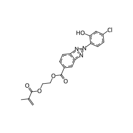 C=C(C)C(=O)OCCOC(=O)c1ccc2c(c1)n1n(-c3ccc(Cl)cc3O)n21